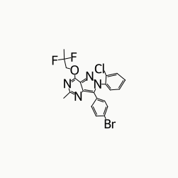 Cc1nc(OCC(C)(F)F)c2nn(-c3ccccc3Cl)c(-c3ccc(Br)cc3)c2n1